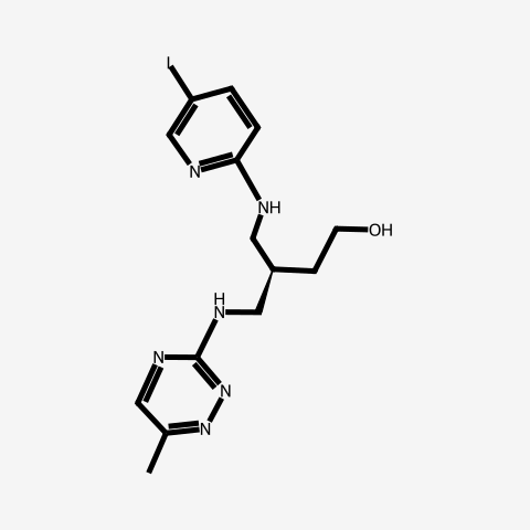 Cc1cnc(NC[C@H](CCO)CNc2ccc(I)cn2)nn1